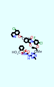 C#CC(C)Oc1cc(N2C(=O)C3=C(CCCC3)C2=O)c(F)cc1Cl.COc1nc(C)nc(NC(=O)NS(=O)(=O)c2ccccc2C(=O)O)n1.O=C(O)COc1ccc(Cl)c2cccnc12